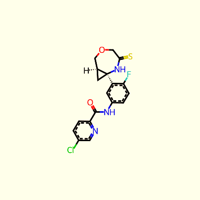 O=C(Nc1ccc(F)c([C@]23C[C@H]2COCC(=S)N3)c1)c1ccc(Cl)cn1